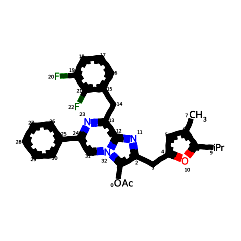 CC(=O)Oc1c(Cc2cc(C)c(C(C)C)o2)nc2c(Cc3cccc(F)c3F)nc(-c3ccccc3)cn12